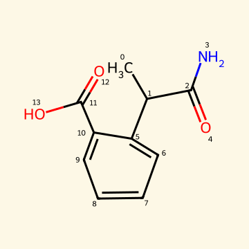 CC(C(N)=O)c1ccccc1C(=O)O